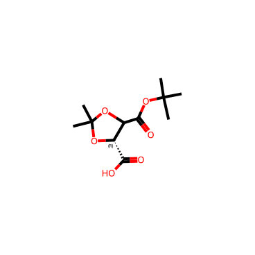 CC(C)(C)OC(=O)C1OC(C)(C)O[C@H]1C(=O)O